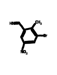 Cc1c(Br)cc([N+](=O)[O-])cc1C=N